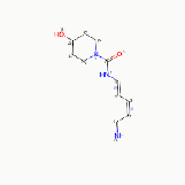 N=C/C=C\C=C\NC(=O)N1CCC(O)CC1